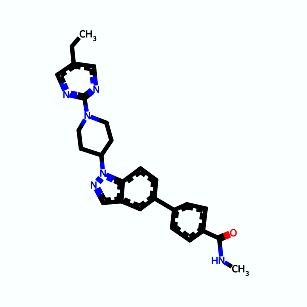 CCc1cnc(N2CCC(n3ncc4cc(-c5ccc(C(=O)NC)cc5)ccc43)CC2)nc1